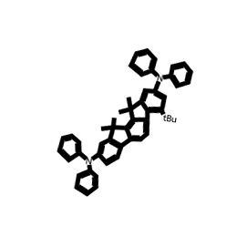 CC(C)(C)c1cc(N(c2ccccc2)c2ccccc2)cc2c1-c1ccc3c(c1C2(C)C)C(C)(C)c1cc(N(c2ccccc2)c2ccccc2)ccc1-3